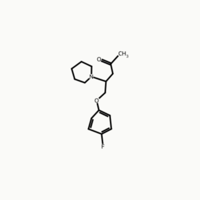 CC(=O)CC(COc1ccc(F)cc1)N1CCCCC1